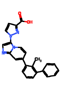 Cc1c(-c2ccccc2)cccc1-c1ccn2c(-n3ccc(C(=O)O)n3)cnc2c1